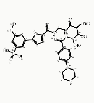 CCCCCC(C(=O)NCNC(=O)c1ccc(-c2cc(OCC)cc(P(=O)(O)O)c2)o1)C(CC)N(C=O)OC(=O)c1ccc(N2CCOCC2)cc1